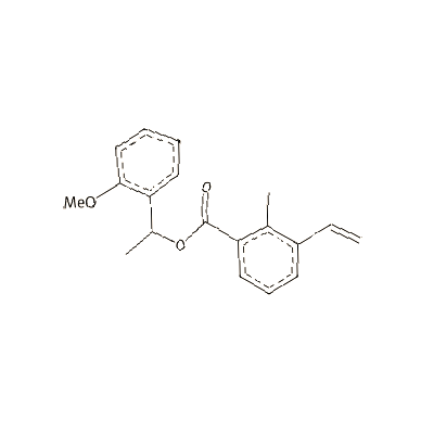 C=Cc1cccc(C(=O)OC(C)c2ccccc2OC)c1C